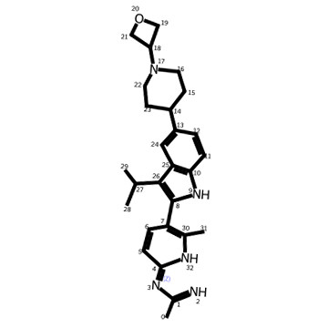 CC(=N)/N=c1/ccc(-c2[nH]c3ccc(C4CCN(C5COC5)CC4)cc3c2C(C)C)c(C)[nH]1